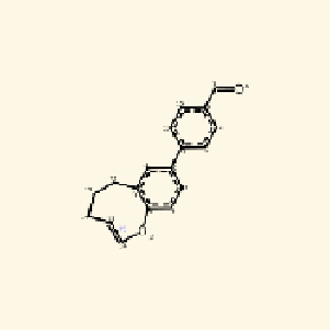 O=Cc1ccc(-c2ccc3c(c2)CCC/C=C/O3)cc1